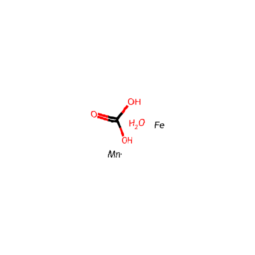 O.O=C(O)O.[Fe].[Mn]